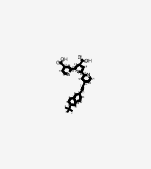 CC(C)(C)c1ccc2cc(C#Cc3ccnc(-c4cc(C(=O)O)cc(-c5cc(C(=O)O)ccn5)n4)c3)ccc2c1